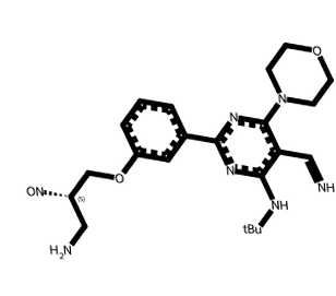 CC(C)(C)Nc1nc(-c2cccc(OC[C@H](CN)N=O)c2)nc(N2CCOCC2)c1C=N